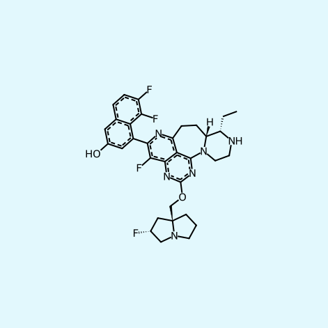 CC[C@@H]1NCCN2c3nc(OC[C@@]45CCCN4C[C@H](F)C5)nc4c(F)c(-c5cc(O)cc6ccc(F)c(F)c56)nc(c34)CC[C@H]12